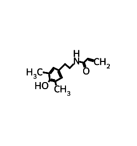 C=CC(=O)NCCc1cc(C)c(O)c(C)c1